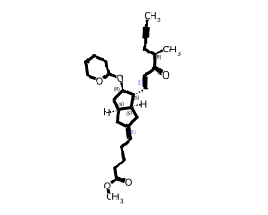 CC#CC[C@@H](C)C(=O)/C=C/[C@@H]1[C@H]2C/C(=C/CCCC(=O)OC)C[C@H]2C[C@H]1OC1CCCCO1